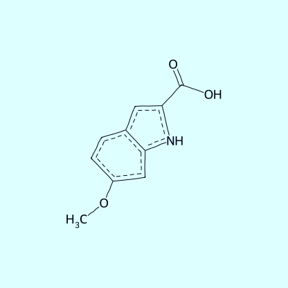 COc1ccc2cc(C(=O)O)[nH]c2c1